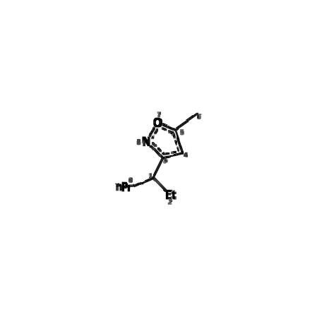 CCCC(CC)c1cc(C)on1